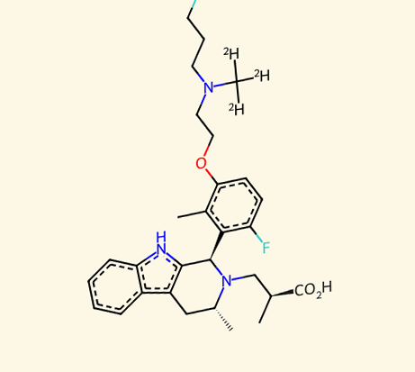 [2H]C([2H])([2H])N(CCCF)CCOc1ccc(F)c([C@@H]2c3[nH]c4ccccc4c3C[C@@H](C)N2C[C@H](C)C(=O)O)c1C